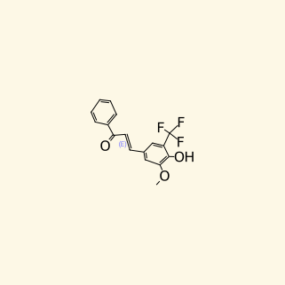 COc1cc(/C=C/C(=O)c2ccccc2)cc(C(F)(F)F)c1O